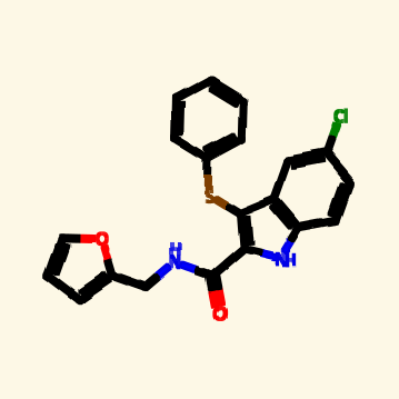 O=C(NCc1ccco1)c1[nH]c2ccc(Cl)cc2c1Sc1ccccc1